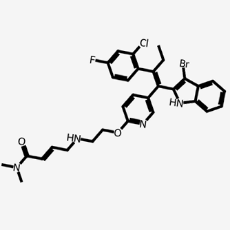 CC/C(=C(/c1ccc(OCCNC/C=C/C(=O)N(C)C)nc1)c1[nH]c2ccccc2c1Br)c1ccc(F)cc1Cl